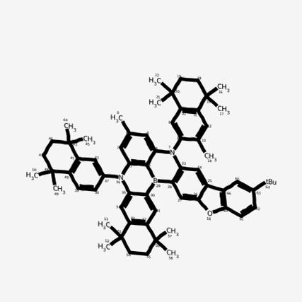 Cc1cc2c3c(c1)N(c1cc4c(cc1C)C(C)(C)CCC4(C)C)c1cc4c(cc1B3c1cc3c(cc1N2c1ccc2c(c1)C(C)(C)CCC2(C)C)C(C)(C)CCC3(C)C)oc1ccc(C(C)(C)C)cc14